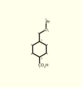 CC(C)OCC1CCC(C(=O)O)CC1